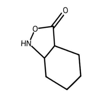 O=C1ONC2CCCCC12